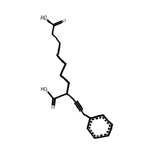 O=C(O)CCCCCCC(C#Cc1ccccc1)C(=O)O